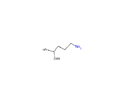 CCCC(CCCN)OC